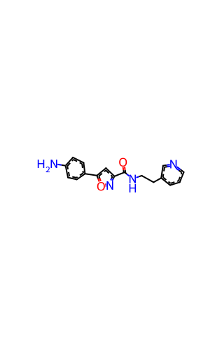 Nc1ccc(-c2cc(C(=O)NCCc3cccnc3)no2)cc1